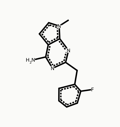 Cn1ccc2c(N)nc(Cc3ccccc3F)nc21